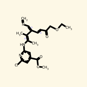 C=N/C=C(/C=C/C(=O)COCC)C(\C)=C(/C)Nc1cc(C(=O)OC)cc(Cl)n1